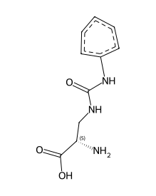 N[C@@H](CNC(=O)Nc1ccccc1)C(=O)O